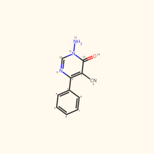 N#Cc1c(-c2ccccc2)ncn(N)c1=O